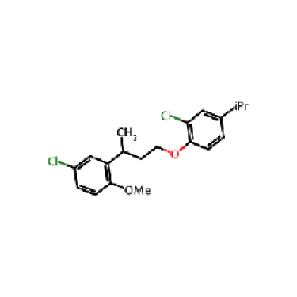 COc1ccc(Cl)cc1C(C)CCOc1ccc(C(C)C)cc1Cl